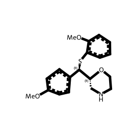 COc1ccc([C@@H](Sc2ccccc2OC)[C@H]2CNCCO2)cc1